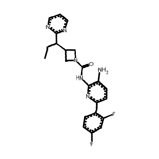 CCC(c1ncccn1)C1CN(C(=O)Nc2nc(-c3ccc(F)cc3F)ccc2N)C1